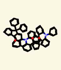 c1ccc(-c2cccc(-c3ccccc3)c2N(c2ccc3c(c2)C(c2ccccc2)(c2ccccc2)c2ccccc2-3)c2cccc3c2-c2ccccc2C32c3ccccc3N(c3ccccc3)c3ccccc32)cc1